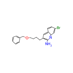 Nc1nc2cc(Br)ccc2cc1CCCCOCc1ccccc1